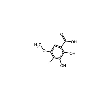 COc1cc(C(=O)O)c(O)c(O)c1F